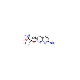 CC(C)(Oc1ccc2ccc(N)nc2n1)C(N)=O